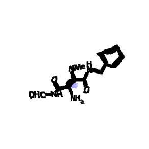 CN/C(C(=O)NCc1ccccc1)=C(/N)C(=O)NC=O